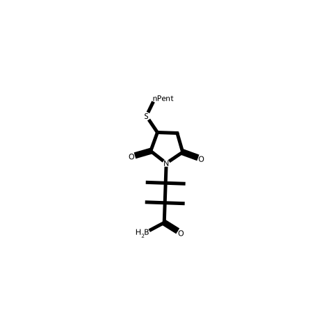 BC(=O)C(C)(C)C(C)(C)N1C(=O)CC(SCCCCC)C1=O